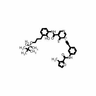 Cc1ccoc1C(=O)Nc1cccc(C#C[C@H]2C=NC=C(C(=O)Nc3cccc(CCCO[Si](C)(C)C(C)(C)C)c3O)C2=S)c1